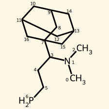 CN(C)C(CCP)C12CC3CC(CC(C3)C1)C2